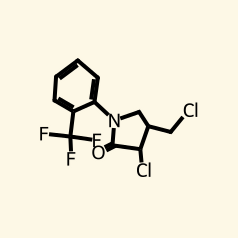 O=C1C(Cl)C(CCl)CN1c1ccccc1C(F)(F)F